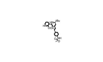 CC(C)(C)C1C=C(/C=C/c2ccc(NS(C)(=O)=O)cc2)C(O)=C(c2ccc[nH]c2=O)N1